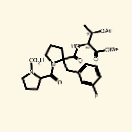 COC(=O)[C@@H](NC(=O)C1(Cc2cccc(F)c2)CCCN1C(=O)C1CCCN1C(=O)O)[C@@H](C)OC(C)=O